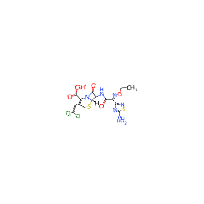 CCON=C(C(=O)NC1C(=O)N2C(C(=O)O)=C(C=C(Cl)Cl)CS[C@@H]12)c1nsc(N)n1